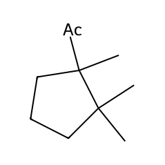 CC(=O)C1(C)CCCC1(C)C